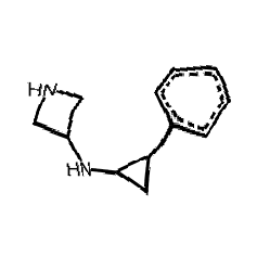 c1ccc(C2CC2NC2CNC2)cc1